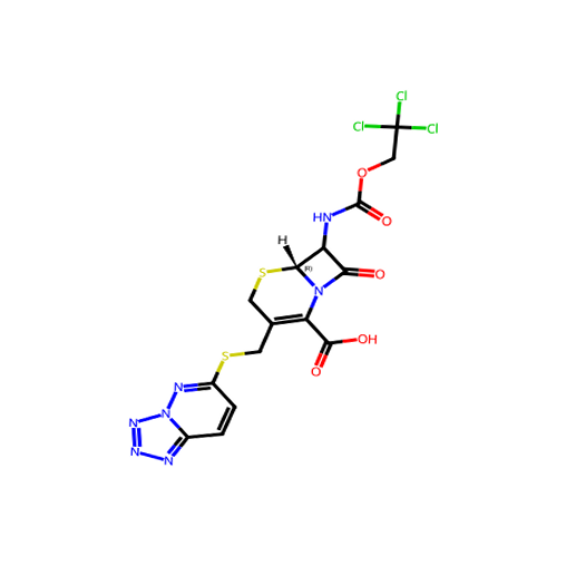 O=C(NC1C(=O)N2C(C(=O)O)=C(CSc3ccc4nnnn4n3)CS[C@H]12)OCC(Cl)(Cl)Cl